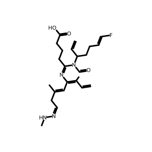 C=C/C(C)=C(\C=C(/C)C/C=N\NC)/N=C(/CCCC(=O)O)N(C=O)C(C=C)CC/C=C/F